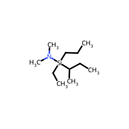 CCC[Si](CC)(C(C)CC)N(C)C